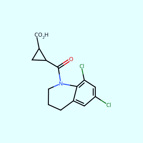 O=C(O)C1CC1C(=O)N1CCCc2cc(Cl)cc(Cl)c21